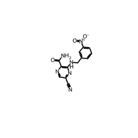 N#Cc1cnc(C(N)=O)c(NCc2cccc([N+](=O)[O-])c2)n1